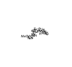 COc1cc(-c2cc(C(=O)N3CC[C@H](C(=O)N[C@@H]4CCN(CC5(O)COC5)C4)CC34CC4)n[nH]2)c(F)cn1